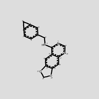 c1nc(NCc2ccc3c(c2)C3)c2cc3c(cc2n1)OCO3